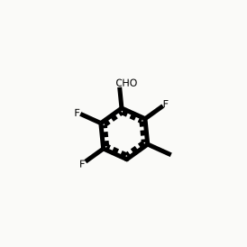 Cc1cc(F)c(F)c(C=O)c1F